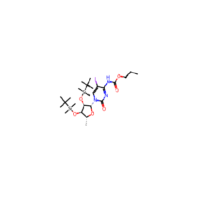 CCCOC(=O)Nc1nc(=O)n([C@@H]2O[C@H](C)[C@@H](O[Si](C)(C)C(C)(C)C)[C@H]2O[Si](C)(C)C(C)(C)C)cc1I